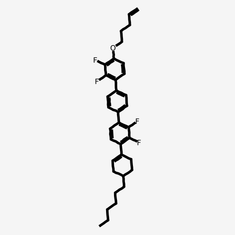 C=CCCCOc1ccc(-c2ccc(-c3ccc(C4=CCC(CCCCCC)CC4)c(F)c3F)cc2)c(F)c1F